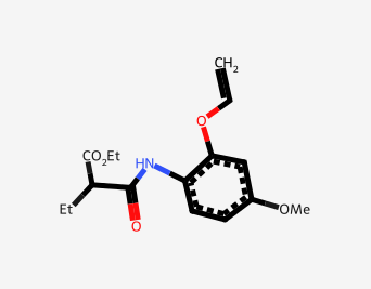 C=COc1cc(OC)ccc1NC(=O)C(CC)C(=O)OCC